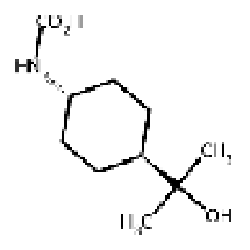 CC(C)(O)[C@H]1CC[C@H](NC(=O)O)CC1